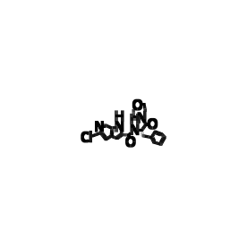 O=C(N[C@@H](Cc1ccccc1)C(=O)N1CCOCC1)c1cc2cc(Cl)ncc2[nH]1